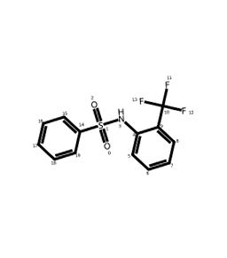 O=S(=O)(Nc1ccccc1C(F)(F)F)c1ccccc1